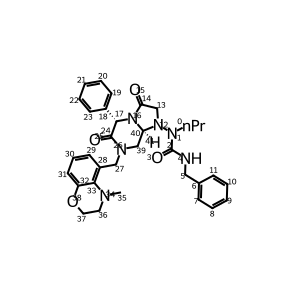 CCCN(C(=O)NCc1ccccc1)N1CC(=O)N2[C@@H](c3ccccc3)C(=O)N(Cc3cccc4c3N(C)CCO4)C[C@@H]21